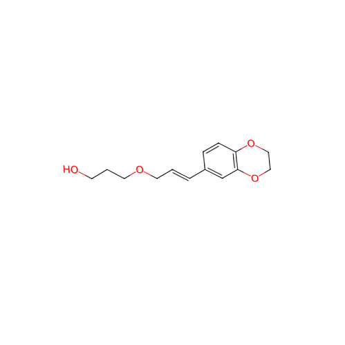 OCCCOCC=Cc1ccc2c(c1)OCCO2